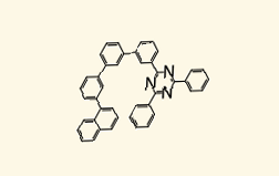 c1ccc(-c2nc(-c3ccccc3)nc(-c3cccc(-c4cccc(-c5cccc(-c6cccc7ccccc67)c5)c4)c3)n2)cc1